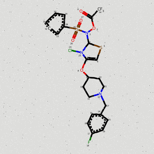 O=C(ON(C1SC=C(OC2CCN(Cc3ccc(F)cc3)CC2)N1Cl)S(=O)(=O)c1ccccc1)C(F)(F)F